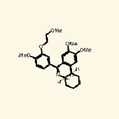 COCCOc1cc(C2=N[C@@H]3CCCC[C@@H]3c3cc(OC)c(OC)cc32)ccc1OC